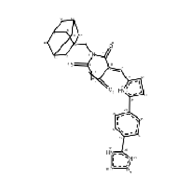 O=C1NC(=S)N(CC23CC4CC(CC(C4)C2)C3)C(=O)C1=Cc1ccc(-c2ccc(-c3nnn[nH]3)cc2)[nH]1